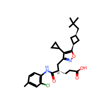 Cc1ccc(NC(=O)[C@@H](CCC(=O)O)Cc2noc([C@H]3C[C@@H](CC(C)(C)C)C3)c2C2CC2)c(Cl)c1